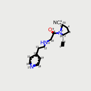 C#C[C@H]1CC[C@@H](C#N)N1C(=O)CNCCc1ccncc1